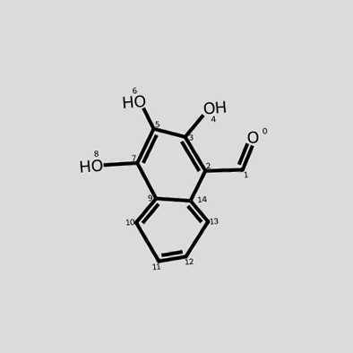 O=Cc1c(O)c(O)c(O)c2ccccc12